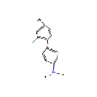 CC(C)c1ccc(-c2ccc(N(C)C)cc2)c(F)c1